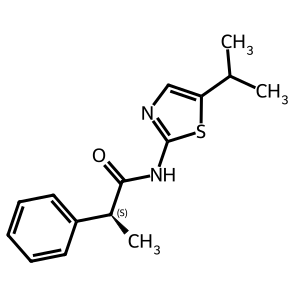 CC(C)c1cnc(NC(=O)[C@@H](C)c2ccccc2)s1